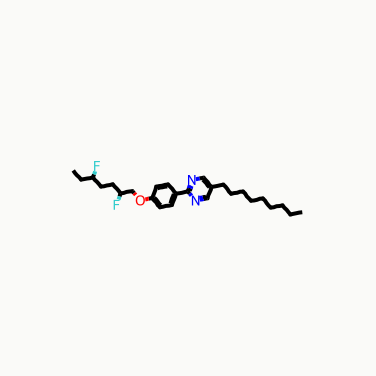 CCCCCCCCCc1cnc(-c2ccc(OCC(F)CCC(F)CC)cc2)nc1